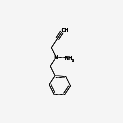 C#CCN(N)Cc1ccccc1